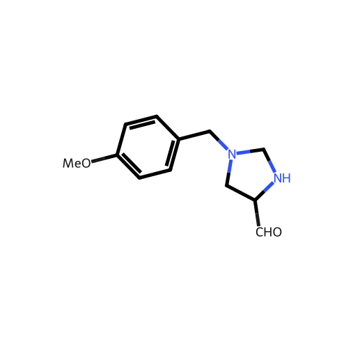 COc1ccc(CN2CNC(C=O)C2)cc1